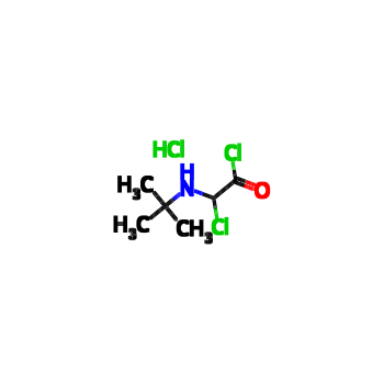 CC(C)(C)NC(Cl)C(=O)Cl.Cl